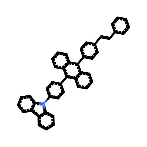 C(=C\c1ccc(-c2c3ccccc3c(-c3ccc(-n4c5ccccc5c5ccccc54)cc3)c3ccccc23)cc1)/c1ccccc1